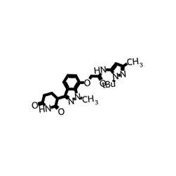 Cc1cc(NC(=O)COc2cccc3c(C4CCC(=O)NC4=O)nn(C)c23)n(C(C)(C)C)n1